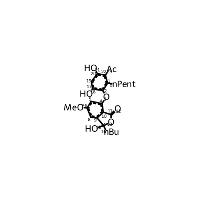 CCCCCc1c(Oc2cc(OC)cc3c2C(=O)OC3(O)CCCC)c(O)cc(O)c1C(C)=O